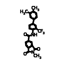 Cc1ccc(-c2ccc(NC(=O)c3ccc4c(c3)C(=O)N(C)C4=O)c(C(F)(F)F)c2)cc1C